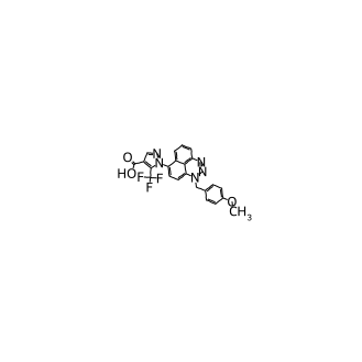 COc1ccc(CN2N=Nc3cccc4c(-n5ncc(C(=O)O)c5C(F)(F)F)ccc2c34)cc1